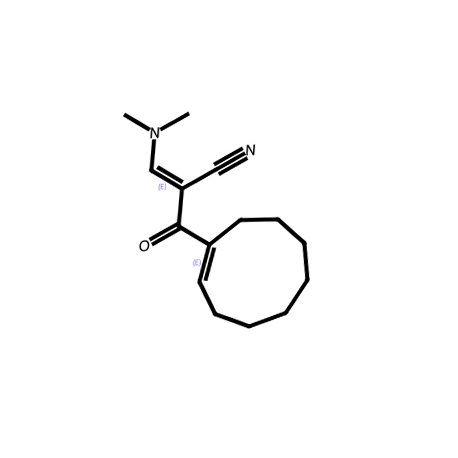 CN(C)/C=C(\C#N)C(=O)/C1=C/CCCCCCC1